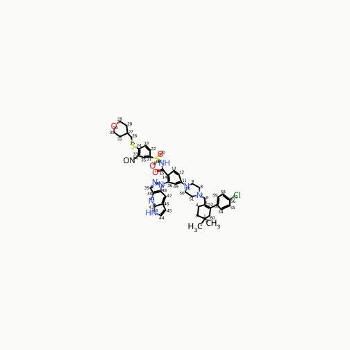 CC1(C)CCC(CN2CCN(c3ccc(C(=O)NS(=O)(=O)c4ccc(SCC5CCOCC5)c(N=O)c4)c(-n4ncc5nc6[nH]ccc6cc54)c3)CC2)=C(c2ccc(Cl)cc2)C1